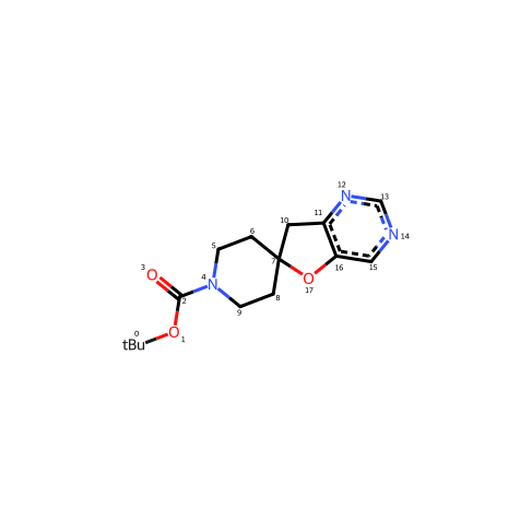 CC(C)(C)OC(=O)N1CCC2(CC1)Cc1ncncc1O2